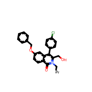 CC(C)Cn1c(CO)c(-c2ccc(Cl)cc2)c2cc(OCc3ccccc3)ccc2c1=O